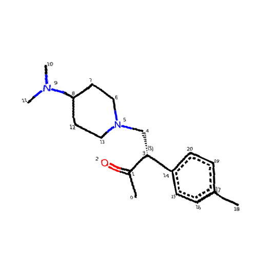 CC(=O)[C@H](CN1CCC(N(C)C)CC1)c1ccc(C)cc1